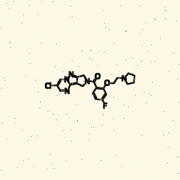 O=C(c1ccc(F)cc1OCCN1CCCC1)N1Cc2nn3cc(Cl)cnc3c2C1